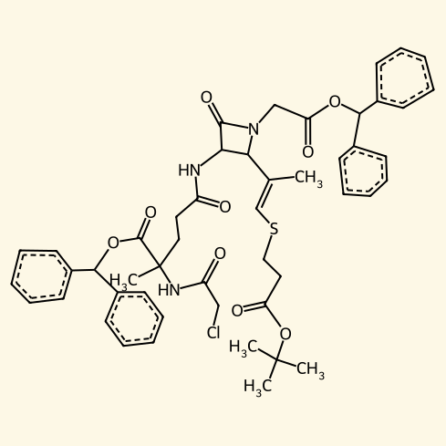 CC(=CSCCC(=O)OC(C)(C)C)C1C(NC(=O)CCC(C)(NC(=O)CCl)C(=O)OC(c2ccccc2)c2ccccc2)C(=O)N1CC(=O)OC(c1ccccc1)c1ccccc1